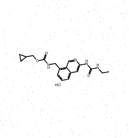 CCNC(=O)Nc1cc2cccc(CNC(=O)OCC3CC3)c2cn1.Cl